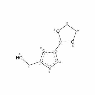 OCc1ncc(C2OCCO2)s1